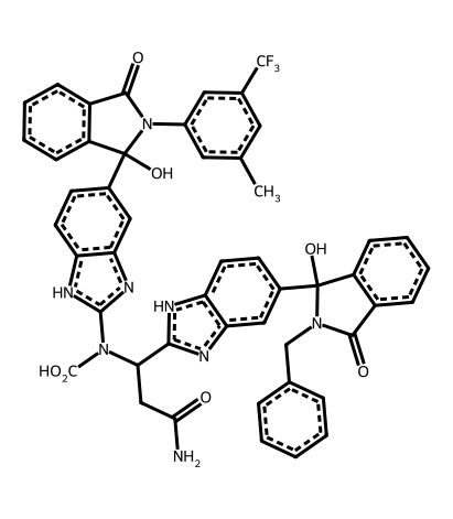 Cc1cc(N2C(=O)c3ccccc3C2(O)c2ccc3[nH]c(N(C(=O)O)C(CC(N)=O)c4nc5cc(C6(O)c7ccccc7C(=O)N6Cc6ccccc6)ccc5[nH]4)nc3c2)cc(C(F)(F)F)c1